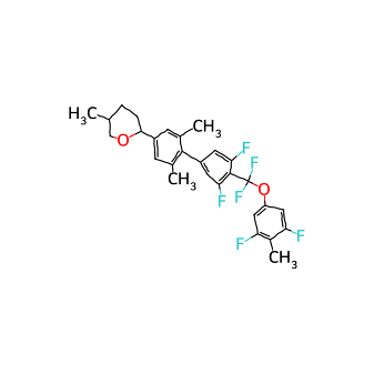 Cc1cc(C2CCC(C)CO2)cc(C)c1-c1cc(F)c(C(F)(F)Oc2cc(F)c(C)c(F)c2)c(F)c1